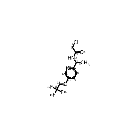 CC(NC(=O)CCl)c1ccc(OCC(F)(F)F)cn1